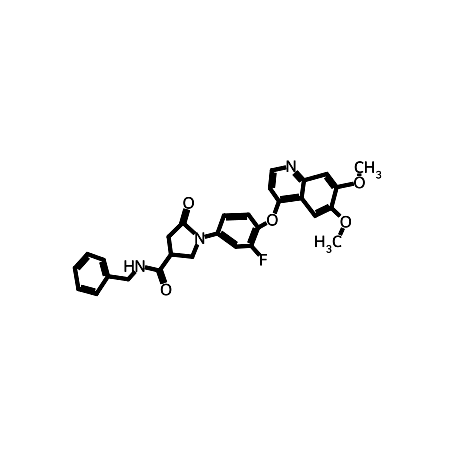 COc1cc2nccc(Oc3ccc(N4CC(C(=O)NCc5ccccc5)CC4=O)cc3F)c2cc1OC